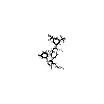 CNCc1[nH]nnc1N1CCO[C@](C)(O[C@H](C)c2cc(C(F)(F)F)cc(C(F)(F)F)c2)[C@@H]1c1ccc(F)cc1